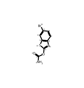 NC(=O)Oc1nc2ccc(Br)cc2s1